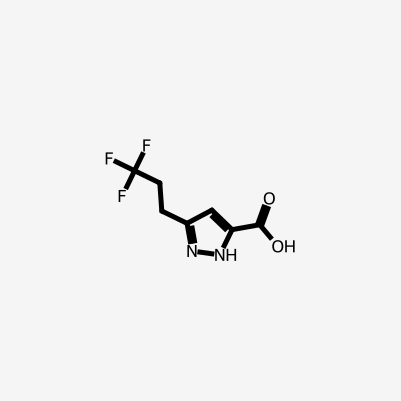 O=C(O)c1cc(CCC(F)(F)F)n[nH]1